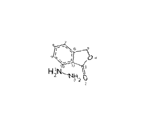 NN.O=C1OCc2ccccc21